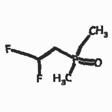 CP(C)(=O)CC(F)F